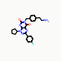 NCCc1ccc(Cn2c(=O)nc3n(C4CCCC4)nc(-c4ccc(F)cc4)nc-3c2=O)cc1